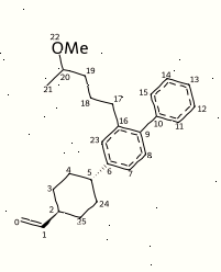 C=C[C@H]1CC[C@H](c2ccc(-c3ccccc3)c(CCCC(C)OC)c2)CC1